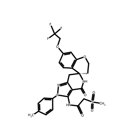 Cc1ccc(-n2nc3c(c2NC(=O)CS(C)(=O)=O)C(=O)N[C@@]2(CCOc4cc(OCC(F)(F)F)ccc42)C3)cc1